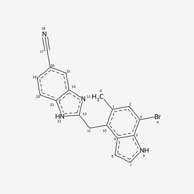 Cc1cc(Br)c2[nH]ccc2c1Cc1nc2cc(C#N)ccc2[nH]1